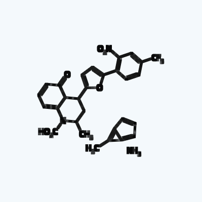 CC1CC(c2ccc(-c3ccc(C(F)(F)F)cc3[N+](=O)[O-])o2)C2C(=O)C=CC=C2N1C(=O)O.Cc1c2cccc1-2.N